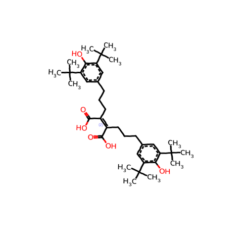 CC(C)(C)c1cc(CCC/C(C(=O)O)=C(\CCCc2cc(C(C)(C)C)c(O)c(C(C)(C)C)c2)C(=O)O)cc(C(C)(C)C)c1O